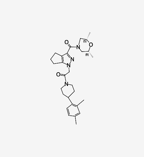 Cc1ccc(C2CCN(C(=O)Cn3nc(C(=O)N4C[C@@H](C)O[C@@H](C)C4)c4c3CCC4)CC2)c(C)c1